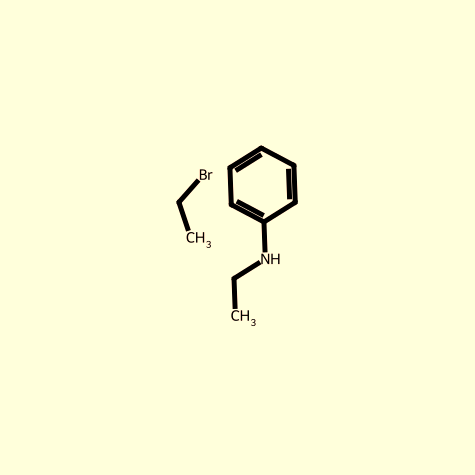 CCBr.CCNc1ccccc1